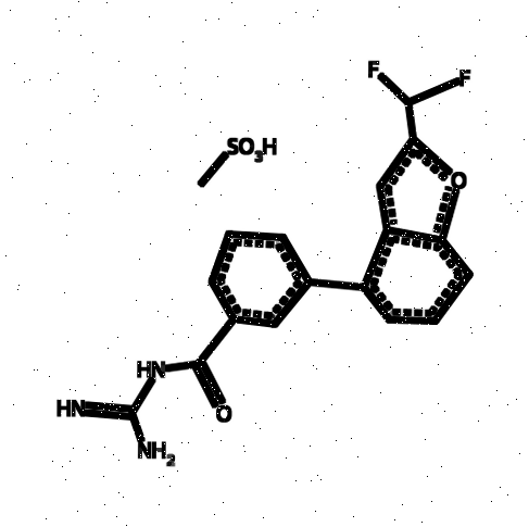 CS(=O)(=O)O.N=C(N)NC(=O)c1cccc(-c2cccc3oc(C(F)F)cc23)c1